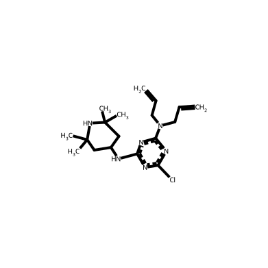 C=CCN(CC=C)c1nc(Cl)nc(NC2CC(C)(C)NC(C)(C)C2)n1